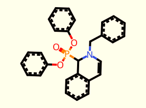 O=P(Oc1ccccc1)(Oc1ccccc1)C1c2ccccc2C=CN1Cc1ccccc1